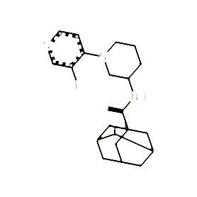 O=C(NC1CCCN(c2ccncc2F)C1)C12CC3CC(C1)C(O)C(C3)C2